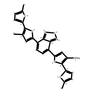 CCCCCCc1cc(-c2ccc(-c3cc(C)c(-c4ccc(C)s4)s3)c3nsnc23)sc1-c1ccc(C)s1